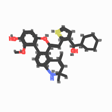 COc1c(O)ccc2c1-c1ccc3c(c1/C(=C/c1sccc1C(O)C1CCCCC1)O2)C(C)=CC(C)(C)N3